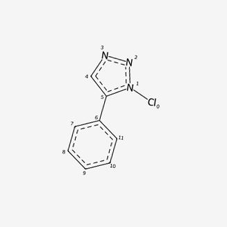 Cln1nncc1-c1ccccc1